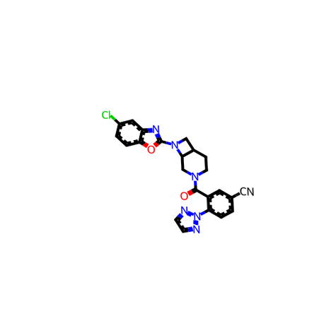 N#Cc1ccc(-n2nccn2)c(C(=O)N2CCC3CN(c4nc5cc(Cl)ccc5o4)C3C2)c1